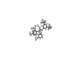 COc1ccccc1-c1nc(SC)nc2c1C(=O)N(Cc1cc(C(F)(F)F)cc(C(F)(F)F)c1)CCCN2